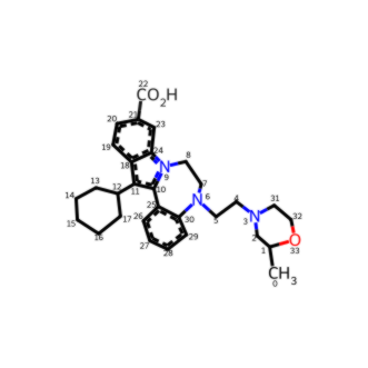 CC1CN(CCN2CCn3c(c(C4CCCCC4)c4ccc(C(=O)O)cc43)-c3ccccc32)CCO1